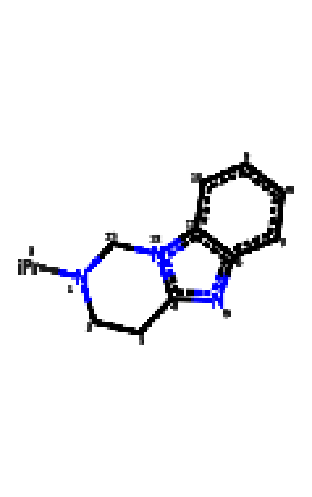 CC(C)N1CCc2nc3ccccc3n2C1